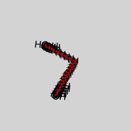 CCN(CC)CC.CCN(CC)CC.CCN(CC)CC.CCN(CC)CC.CCN(CC)CC.CCN(CC)CC.CCN(CC)CC.CCN(CC)CC.CCN(CC)CC.CCN(CC)CC.CCN(CC)CC.CCN(CC)CC.CCN(CC)CC.CCN(CC)CC.O=S(=O)(O)O.O=S(=O)(O)O.O=S(=O)(O)O.O=S(=O)(O)O.O=S(=O)(O)O.O=S(=O)(O)O.O=S(=O)(O)O